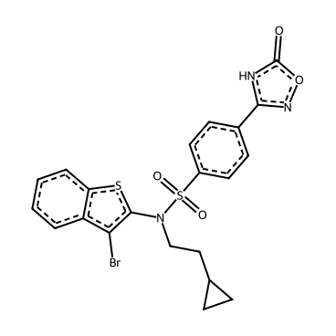 O=c1[nH]c(-c2ccc(S(=O)(=O)N(CCC3CC3)c3sc4ccccc4c3Br)cc2)no1